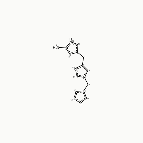 Nc1nc(Cc2cn(Cc3ccoc3)nn2)c[nH]1